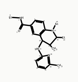 CCNC(=O)c1ccc2c(c1)C(Nc1cccc(C)n1)C(C)C(CC)N2C(C)=O